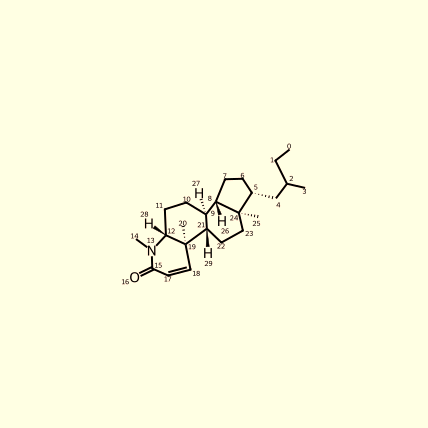 CCC(C)C[C@H]1CC[C@H]2[C@@H]3CC[C@H]4N(C)C(=O)C=C[C@]4(C)[C@H]3CC[C@]12C